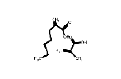 C=C(C)C(=O)O.C=C(CCCCC)C(=O)O